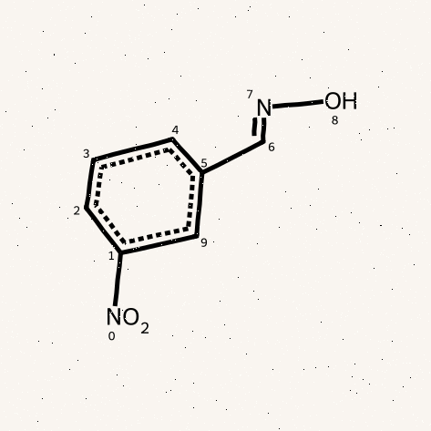 O=[N+]([O-])c1cccc(/C=N/O)c1